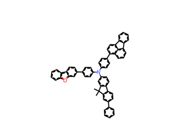 CC1(C)c2cc(-c3ccccc3)ccc2-c2ccc(N(c3ccc(-c4ccc5c(c4)oc4ccccc45)cc3)c3ccc(-c4ccc5c6c(cccc46)-c4ccccc4-5)cc3)cc21